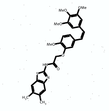 COc1ccc(/C=C\c2cc(OC)c(OC)c(OC)c2)cc1OCC(=O)Nc1nc2cc(C)c(C)cc2s1